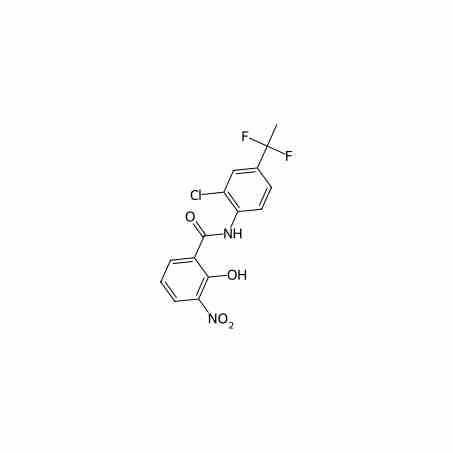 CC(F)(F)c1ccc(NC(=O)c2cccc([N+](=O)[O-])c2O)c(Cl)c1